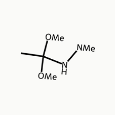 CNNC(C)(OC)OC